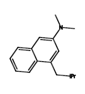 CC(C)Cc1cc(N(C)C)cc2ccccc12